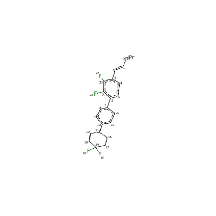 CCCC=Cc1ccc(-c2ccc(C3CCC(F)(F)CC3)cc2)c(F)c1F